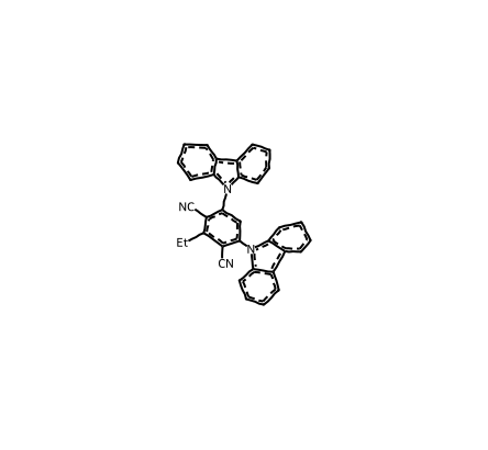 CCc1c(C#N)c(-n2c3ccccc3c3ccccc32)cc(-n2c3ccccc3c3ccccc32)c1C#N